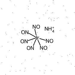 O=[N][Ir]([N]=O)([N]=O)([N]=O)([N]=O)[N]=O.[NH4+]